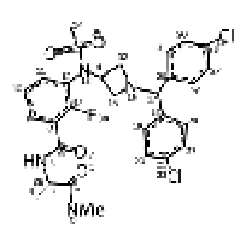 CNC(=O)[C@H](C)NC(=O)c1cccc(N(C2CN(C(c3ccc(Cl)cc3)c3ccc(Cl)cc3)C2)S(C)(=O)=O)c1F